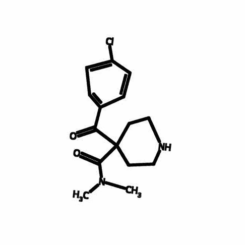 CN(C)C(=O)C1(C(=O)c2ccc(Cl)cc2)CCNCC1